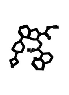 CN(C[C@H]1Cc2c(cccc2N2CCN(C3COC3)CC2)CN1C(=O)OC(C)(C)C)C1CCCc2cccnc21